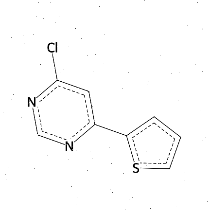 Clc1cc(-c2cccs2)ncn1